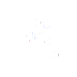 O=C(Cc1cccc(Oc2ccccc2)c1)Nc1cccc(Cc2n[nH]c(=O)c3c2CCCC3)c1